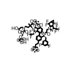 CC(C)(CCN(CC(O)O)C(=O)OCOP(=O)(O)O)C(=O)N(c1nn(CC(F)(F)F)c2c(-c3ccc(CCC(C)(C)S(C)(=O)=O)cc3[C@H](Cc3cc(F)cc(F)c3)NC(=O)Cn3nc(C(F)(F)F)c4c3C(F)(F)C3C[C@H]43)ccc(Cl)c12)S(C)(=O)=O